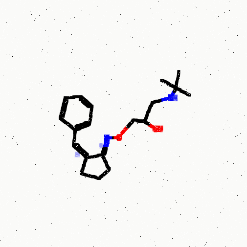 CC(C)(C)NCC(O)CO/N=C1\CCC\C1=C\c1ccccc1